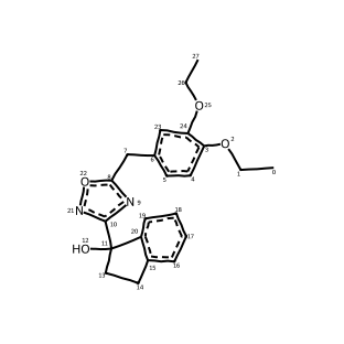 CCOc1ccc(Cc2nc(C3(O)CCc4ccccc43)no2)cc1OCC